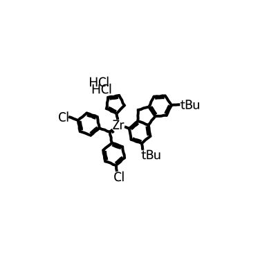 CC(C)(C)c1ccc2c(c1)-c1cc(C(C)(C)C)c[c]([Zr]([C]3=CC=CC3)=[C](c3ccc(Cl)cc3)c3ccc(Cl)cc3)c1C2.Cl.Cl